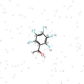 [CH]C(=O)c1c(F)c(F)c(F)c(F)c1F